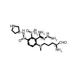 CN(CCC[C@H](N)C=O)c1ccc([S+]([O-])N[C@@H]2CCNC2)c([S+](N)[O-])c1/C(N)=N/NN